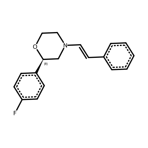 Fc1ccc([C@@H]2CN(C=Cc3ccccc3)CCO2)cc1